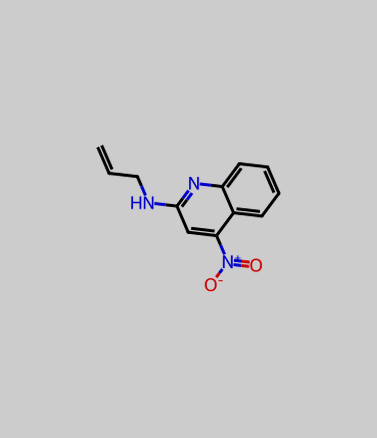 C=CCNc1cc([N+](=O)[O-])c2ccccc2n1